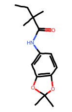 CCC(C)(C)C(=O)Nc1ccc2c(c1)OC(C)(C)O2